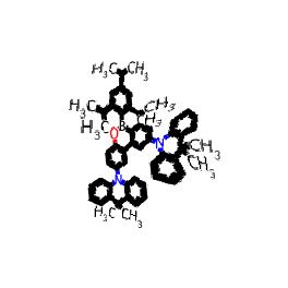 CC(C)c1cc(C(C)C)c(B2Oc3ccc(N4c5ccccc5C(C)(C)c5ccccc54)cc3-c3cc(N4c5ccccc5C(C)(C)c5ccccc54)ccc32)c(C(C)C)c1